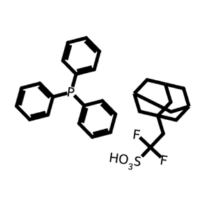 O=S(=O)(O)C(F)(F)CC12CC3CC(CC(C3)C1)C2.c1ccc(P(c2ccccc2)c2ccccc2)cc1